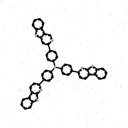 c1ccc2c(c1)sc1cc(-c3ccc(N(c4ccc(-c5ccc6c(n5)sc5ccccc56)cc4)c4ccc(-c5ccc6c(n5)sc5ccccc56)cc4)cc3)ncc12